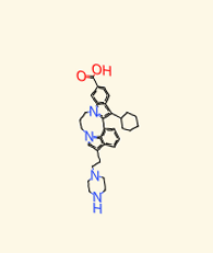 O=C(O)c1ccc2c(C3CCCCC3)c3n(c2c1)CCCn1cc(CCN2CCNCC2)c2cccc-3c21